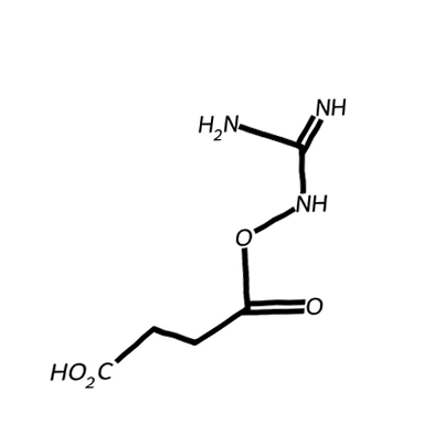 N=C(N)NOC(=O)CCC(=O)O